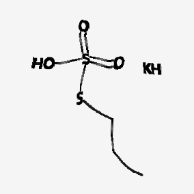 CCCSS(=O)(=O)O.[KH]